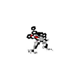 CCCC(=O)N[C@]1(C(=O)N[C@H](Cc2ccccc2)C(=O)N[C@@H](CCCNC(=N)N)C(=O)N[C@@H](Cc2ccc3ccccc3c2)C(=O)NCC(N)=O)CC[C@H](c2ccccc2)CC1